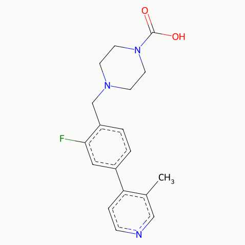 Cc1cnccc1-c1ccc(CN2CCN(C(=O)O)CC2)c(F)c1